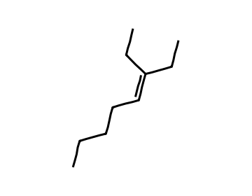 CCCCC=C(CC)CC